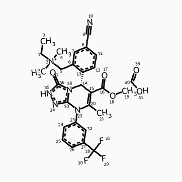 CC[N+](C)(C)Cc1cc(C#N)ccc1[C@@H]1C(C(=O)OC)=C(C)N(c2cccc(C(F)(F)F)c2)c2n[nH]c(=O)n21.O=CO